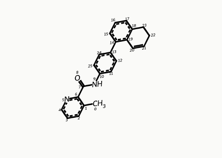 Cc1cccnc1C(=O)Nc1ccc(-c2cccc3c2C=CCC3)cc1